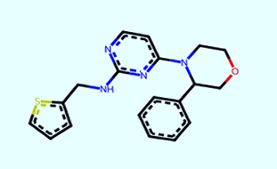 c1ccc(C2COCCN2c2ccnc(NCc3cccs3)n2)cc1